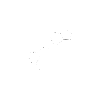 Oc1cccc(CNc2ccc3cc[nH]c3n2)c1